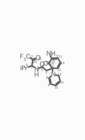 CC(C)C(NC(=O)CC1(N2C=CC=CC2)C=CC=C(N)C1=O)C(=O)C(F)(F)F